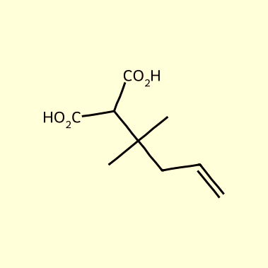 C=CCC(C)(C)C(C(=O)O)C(=O)O